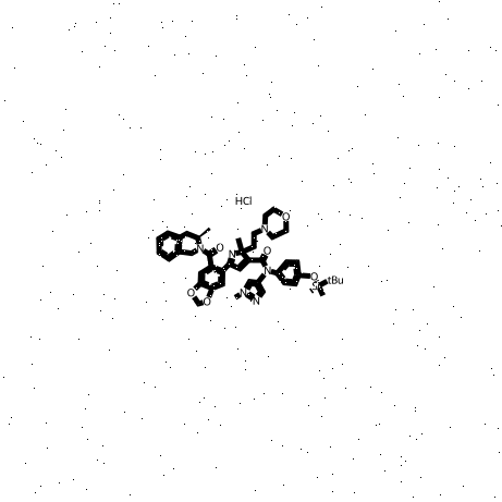 C[C@@H]1Cc2ccccc2CN1C(=O)c1cc2c(cc1C1=NC(C)(CCN3CCOCC3)C(C(=O)N(c3ccc(O[Si](C)(C)C(C)(C)C)cc3)c3cnn(C)c3)=C1)OCO2.Cl